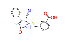 N#Cc1c(SCc2cccc(C(=O)O)c2)[nH]c(=O)c(F)c1-c1ccccc1